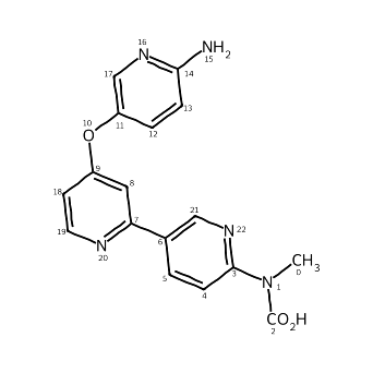 CN(C(=O)O)c1ccc(-c2cc(Oc3ccc(N)nc3)ccn2)cn1